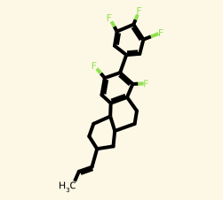 CC=CC1CCC2c3cc(F)c(-c4cc(F)c(F)c(F)c4)c(F)c3CCC2C1